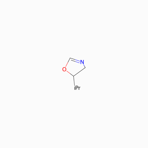 CC(C)C1CN=CO1